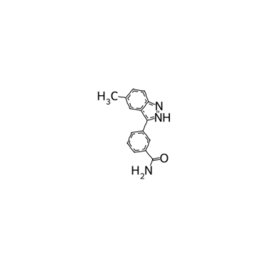 Cc1ccc2n[nH]c(-c3cccc(C(N)=O)c3)c2c1